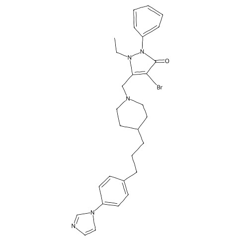 CCn1c(CN2CCC(CCCc3ccc(-n4ccnc4)cc3)CC2)c(Br)c(=O)n1-c1ccccc1